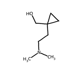 CN(C)CCC1(CO)CC1